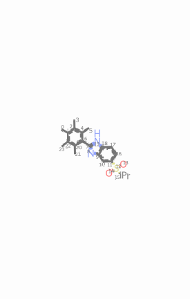 Cc1c(C)c(C)c(-c2nc3cc(S(=O)(=O)C(C)C)ccc3[nH]2)c(C)c1C